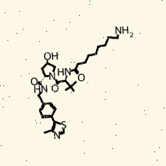 Cc1ncsc1-c1ccc(CNC(=O)[C@@H]2C[C@@H](O)CN2C(=O)[C@@H](NC(=O)CCCCCCCCN)C(C)(C)C)cc1